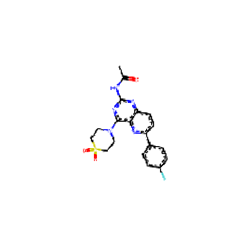 CC(=O)Nc1nc(N2CCS(=O)(=O)CC2)c2nc(-c3ccc(F)cc3)ccc2n1